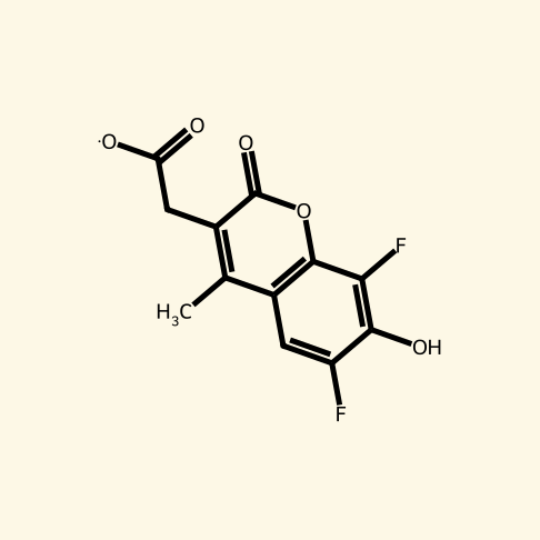 Cc1c(CC([O])=O)c(=O)oc2c(F)c(O)c(F)cc12